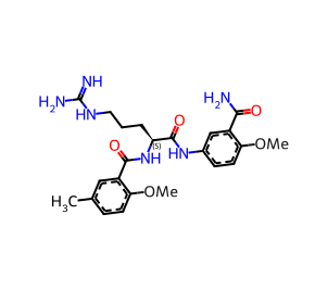 COc1ccc(NC(=O)[C@H](CCCNC(=N)N)NC(=O)c2cc(C)ccc2OC)cc1C(N)=O